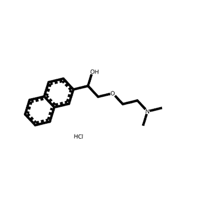 CN(C)CCOCC(O)c1ccc2ccccc2c1.Cl